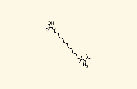 CC(C)[SiH2]C(C)(C)CCCCCCCCCCCOC(=O)O